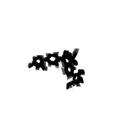 Cc1cnc(N2CCN(C(=O)c3ccc(N4C(=O)OC[C@H]4C(C)C)cc3S(C)(=O)=O)CC2)c(C)c1